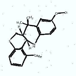 CCOc1ccc2c(c1)C(C)(C)[C@H]1CSc3cccc(OC)c3[C@H]1N2